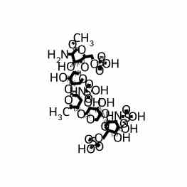 CO[C@H]1OC(COS(=O)(=O)O)[C@@H](O[C@H]2C[C@H](O)[C@H](O[C@@H]3OC(C)[C@@H](O[C@@H]4OC[C@@H](O[C@H]5OC(COS(=O)(=O)O)[C@@H](O)[C@H](O)C5NS(=O)(=O)O)[C@H](O)C4O)CC3NS(=O)(=O)O)CO2)[C@H](O)C1N